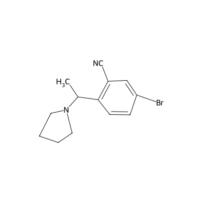 CC(c1ccc(Br)cc1C#N)N1CCCC1